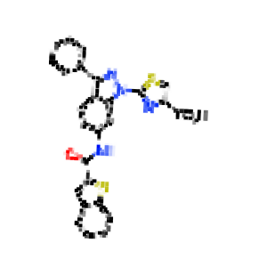 O=C(O)c1csc(-n2nc(-c3ccccc3)c3ccc(NC(=O)c4cc5ccccc5s4)cc32)n1